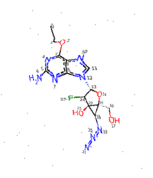 CCOc1nc(N)nc2c1ncn2[C@@H]1O[C@@]2(CO)C(N=[N+]=[N-])[C@]2(O)[C@H]1F